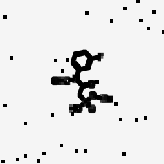 CCC(C)OP(=O)(O)CC(=O)N(C=O)c1cccc(F)c1